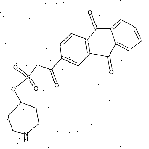 O=C(CS(=O)(=O)OC1CCNCC1)c1ccc2c(c1)C(=O)c1ccccc1C2=O